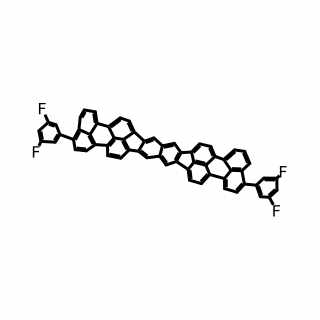 Fc1cc(F)cc(-c2ccc3c4ccc5c6cc7cc8c(cc7cc6c6ccc(c7cccc2c73)c4c65)c2ccc3c4cccc5c(-c6cc(F)cc(F)c6)ccc(c6ccc8c2c36)c54)c1